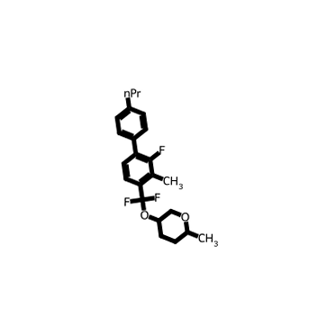 CCCc1ccc(-c2ccc(C(F)(F)OC3CCC(C)OC3)c(C)c2F)cc1